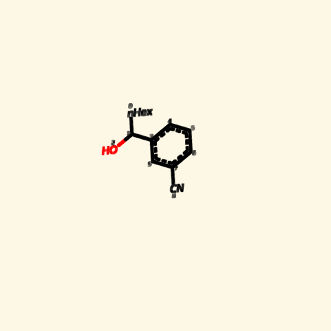 CCCCCCC(O)c1cccc(C#N)c1